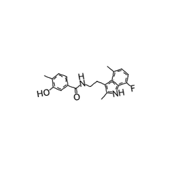 Cc1ccc(C(=O)NCCc2c(C)[nH]c3c(F)ccc(C)c23)cc1O